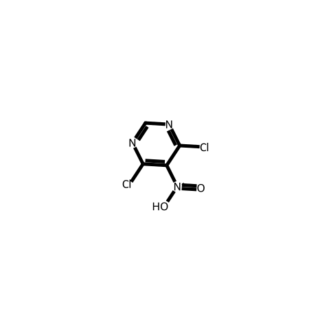 O=[N+](O)c1c(Cl)ncnc1Cl